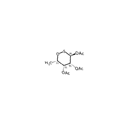 CC(=O)O[C@@H]1[C@H](OC(C)=O)[C@H](C)OS[C@H]1OC(C)=O